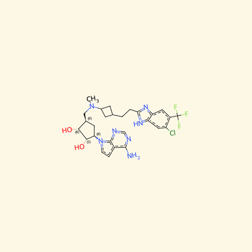 CN(C[C@H]1C[C@@H](n2ccc3c(N)ncnc32)[C@H](O)[C@@H]1O)C1CC(CCc2nc3cc(C(F)(F)F)c(Cl)cc3[nH]2)C1